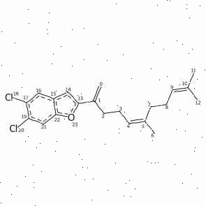 C=C(CCC=C(C)CCC=C(C)C)c1cc2cc(Cl)c(Cl)cc2o1